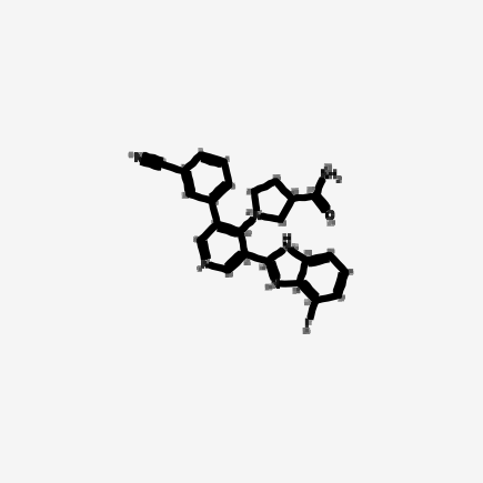 N#Cc1cccc(-c2cncc(-c3nc4c(F)cccc4[nH]3)c2N2CCC(C(N)=O)C2)c1